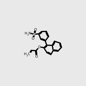 C=CC(=O)Oc1ccc2ccccc2c1-c1cccc(S(N)(=O)=O)c1